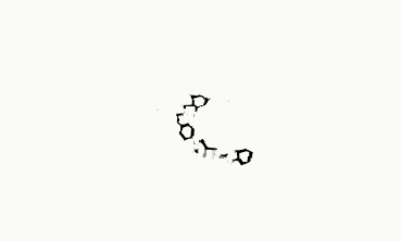 Cc1cc(C)c(C(=O)N[C@@H](Cc2ccc(-n3cc(CNc4nc5ccccc5s4)nn3)cc2)C(=O)O)c(C)c1